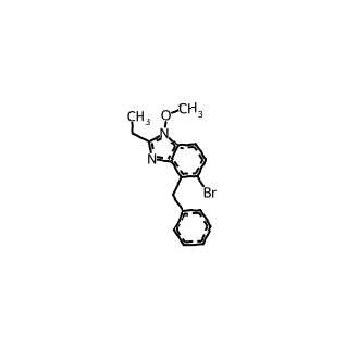 CCc1nc2c(Cc3ccccc3)c(Br)ccc2n1OC